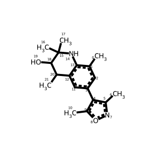 Cc1cc(-c2c(C)noc2C)cc2c1NC(C)(C)C(O)C2C